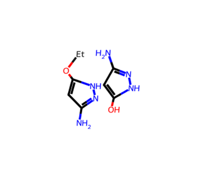 CCOc1cc(N)n[nH]1.Nc1cc(O)[nH]n1